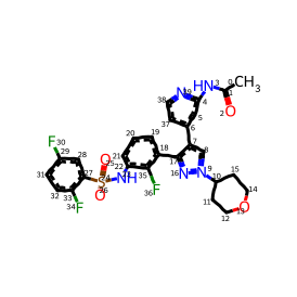 CC(=O)Nc1cc(-c2cn(C3CCOCC3)nc2-c2cccc(NS(=O)(=O)c3cc(F)ccc3F)c2F)ccn1